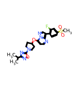 CC(C)c1noc(N2CCC(Oc3ccnc4c(-c5ccc(S(C)(=O)=O)cc5F)cnn34)CC2)n1